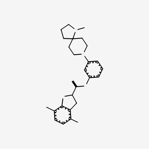 Cc1ccc(F)c2c1NC(C(=O)Nc1cccc(N3CCC4(CCCN4C)CC3)c1)C2